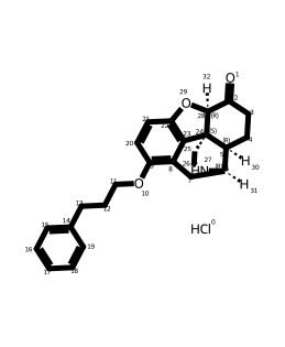 Cl.O=C1CC[C@H]2[C@H]3Cc4c(OCCCc5ccccc5)ccc5c4[C@@]2(CCN3)[C@H]1O5